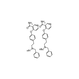 CCCCN(CCc1ccc(Oc2ccncc2C(N)=O)cc1)Cc1ccccc1.CCCN(CCc1ccc(Oc2ccncc2C(N)=O)cc1)Cc1ccccc1